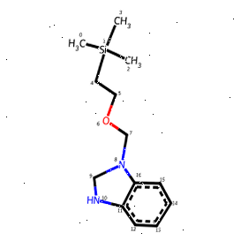 C[Si](C)(C)CCOCN1CNc2ccccc21